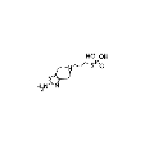 Nc1nc2c(s1)CCN(CCCSP(=O)(O)O)CC2